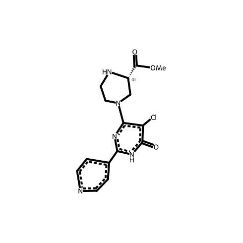 COC(=O)[C@@H]1CN(c2nc(-c3ccncc3)[nH]c(=O)c2Cl)CCN1